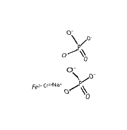 O=P([O-])([O-])[O-].O=P([O-])([O-])[O-].[Cr+3].[Fe+2].[Na+]